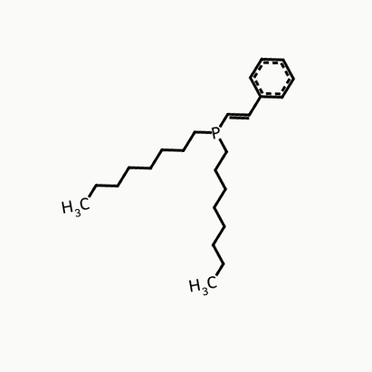 CCCCCCCCP(/C=C/c1ccccc1)CCCCCCCC